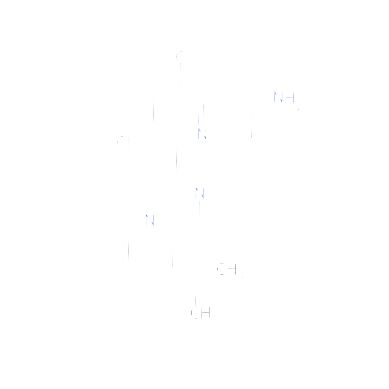 CC(C)c1cccnc1CN(CCCCN)Cc1ncc(Cl)cc1Cl